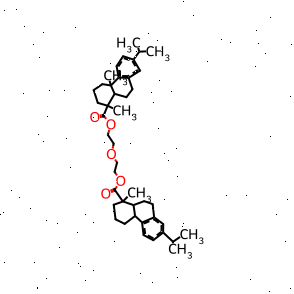 CC(C)c1ccc2c(c1)CCC1C2CCCC1(C)C(=O)OCCOCCOC(=O)C1(C)CCCC2(C)c3ccc(C(C)C)cc3CCC12